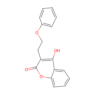 O=c1oc2ccccc2c(O)c1CCOc1ccccc1